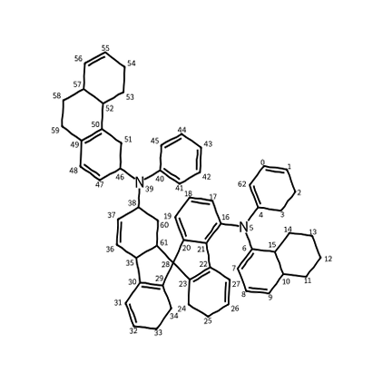 C1=CCCC(N(C2=CC=CC3CCCCC23)c2cccc3c2C2=C(CCC=C2)C32C3=C(C=CCC3)C3C=CC(N(c4ccccc4)C4C=CC5=C(C4)C4CCC=CC4CC5)CC32)=C1